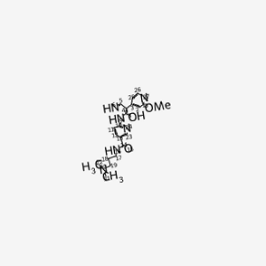 COc1cc(/C(C=N)=C(\O)Nc2ccc(C(=O)NCCCN(C)C)cn2)ccn1